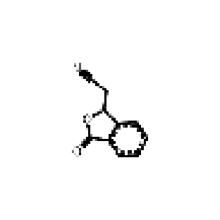 N#CCC1OC(=O)c2ccccc21